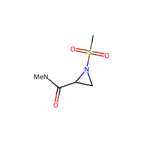 CNC(=O)C1CN1S(C)(=O)=O